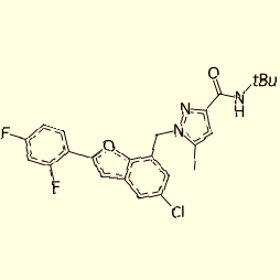 Cc1cc(C(=O)NC(C)(C)C)nn1Cc1cc(Cl)cc2cc(-c3ccc(F)cc3F)oc12